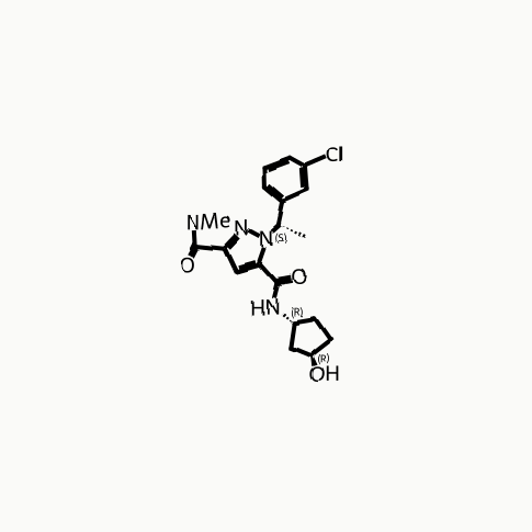 CNC(=O)c1cc(C(=O)N[C@@H]2CC[C@@H](O)C2)n([C@@H](C)c2cccc(Cl)c2)n1